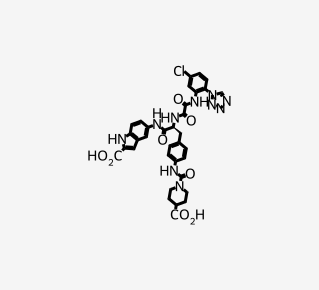 O=C(Nc1cc(Cl)ccc1-n1cnnn1)C(=O)N[C@@H](Cc1ccc(NC(=O)N2CCC(C(=O)O)CC2)cc1)C(=O)Nc1ccc2[nH]c(C(=O)O)cc2c1